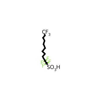 O=S(=O)(O)C(F)(F)C(F)(F)CCCCCCCCC(F)(F)F